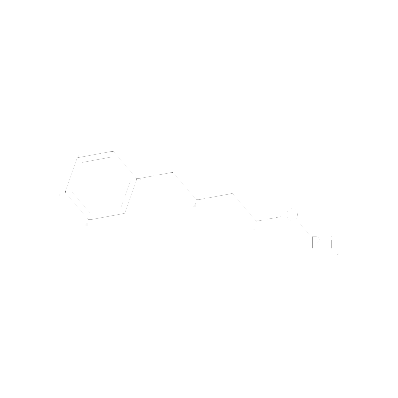 POCCCCc1ccccc1